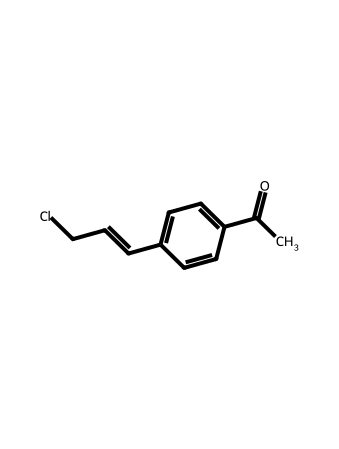 CC(=O)c1ccc(C=CCCl)cc1